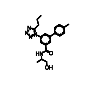 CCCc1nnnn1-c1cc(C(=O)NC(C)CO)cc(-c2ccc(C)cc2)c1